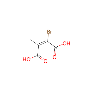 C/C(C(=O)O)=C(\Br)C(=O)O